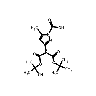 Cc1cc(N(C(=O)OC(C)(C)C)C(=O)OC(C)(C)C)nn1C(=O)O